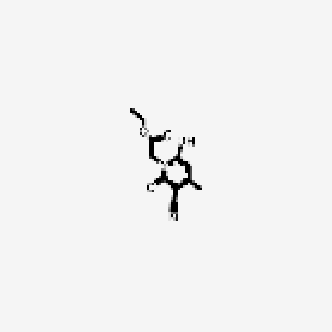 CCOC(=O)Cn1c(O)cc(C)c(C#N)c1=O